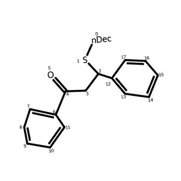 CCCCCCCCCCSC(CC(=O)c1ccccc1)c1ccccc1